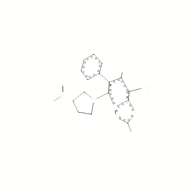 Cc1nc2c(C#N)c(C)c(-c3ccccc3)c(N3CC[C@H](N(C)C)C3)n2n1